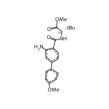 COC(=O)[C@@H](NC(=O)c1ccc(-c2ccc(OC)cc2)cc1N)C(C)(C)C